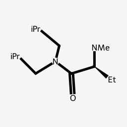 CC[C@H](NC)C(=O)N(CC(C)C)CC(C)C